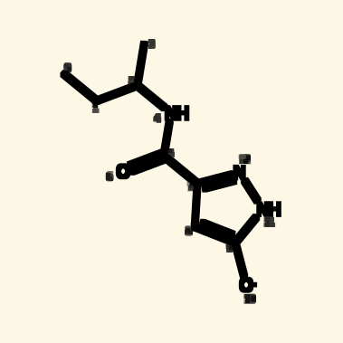 CCC(C)NC(=O)c1cc([O])[nH]n1